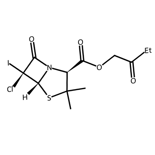 CCC(=O)COC(=O)[C@@H]1N2C(=O)[C@@](Cl)(I)[C@H]2SC1(C)C